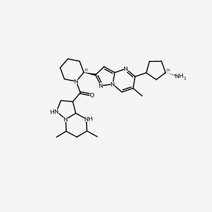 Cc1cn2nc([C@@H]3CCCCN3C(=O)C3CNN4C(C)CC(C)NC34)cc2nc1C1CC[C@H](N)C1